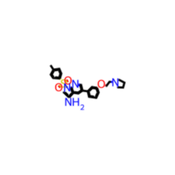 Cc1ccc(S(=O)(=O)n2cc(N)c3cc(-c4cccc(OCCN5CCCC5)c4)cnc32)cc1